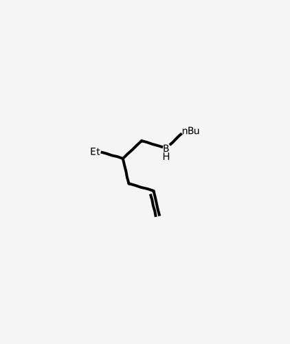 C=CCC(CC)CBCCCC